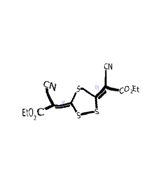 CCOC(=O)/C(C#N)=C1\SS/C(=C(/C#N)C(=O)OCC)S1